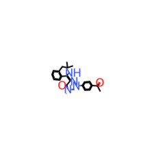 CC(=O)c1ccc(/N=N/C(C(=O)N(C)C)=C2\NC(C)(C)Cc3ccccc32)cc1